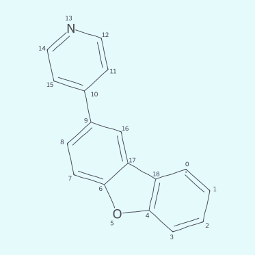 [c]1cccc2oc3ccc(-c4ccncc4)cc3c12